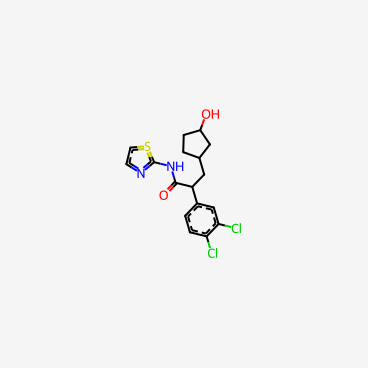 O=C(Nc1nccs1)C(CC1CCC(O)C1)c1ccc(Cl)c(Cl)c1